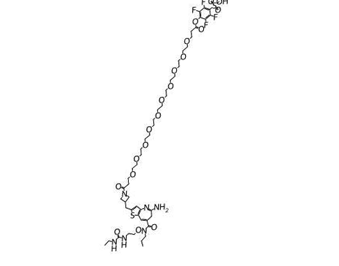 CCCN(OCCNC(=O)NCC)C(=O)C1=Cc2sc(CC3CN(C(=O)CCOCCOCCOCCOCCOCCOCCOCCOCCOCCOCCC(=O)Oc4c(F)c(F)c(S(=O)(=O)O)c(F)c4F)C3)cc2N=C(N)C1